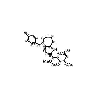 CCC(C)/C=C/[C@@H](OC(C)=O)[C@H](OC(C)=O)[C@@H](OC(C)=O)[C@@H](OC)C(=O)N[C@H]1CCCCN(Cc2ccc(F)cc2)C1=O